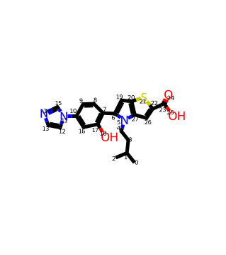 CC(C)CCn1c(-c2ccc(-n3ccnc3)cc2O)cc2sc(C(=O)O)cc21